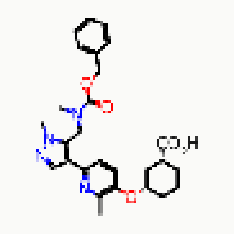 Cc1nc(-c2cnn(C)c2CN(C)C(=O)OCc2ccccc2)ccc1O[C@H]1CCC[C@H](C(=O)O)C1